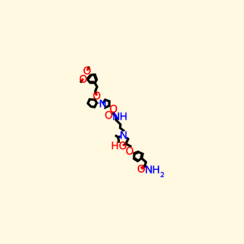 COc1ccc(CCO[C@@H]2CCCC[C@H]2N2CC[C@@H](OC(=O)NCCCCN(CC(O)COc3ccc(CC(N)=O)cc3)C(C)C)C2)cc1OC